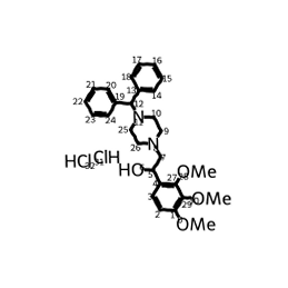 COc1ccc(C(O)CN2CCN(C(c3ccccc3)c3ccccc3)CC2)c(OC)c1OC.Cl.Cl